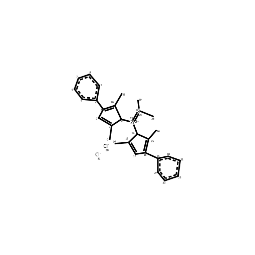 CC1=CC(c2ccccc2)=C(C)[CH]1[Zr+2]([CH]1C(C)=CC(c2ccccc2)=C1C)=[Si](C)C.[Cl-].[Cl-]